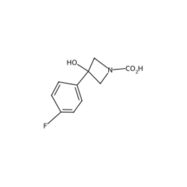 O=C(O)N1CC(O)(c2ccc(F)cc2)C1